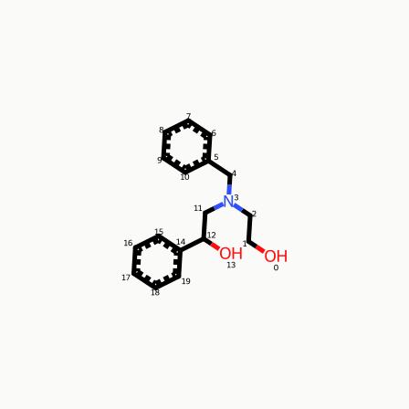 OCCN(Cc1ccccc1)CC(O)c1ccccc1